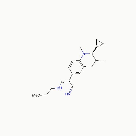 COCCN/C=C(\C=N)c1ccc2c(c1)CC(C)[C@H](C1CC1)N2C